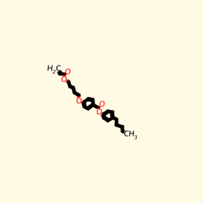 C=CC(=O)OCCCCCOc1ccc(C(=O)Oc2ccc(CCCCC)cc2)cc1